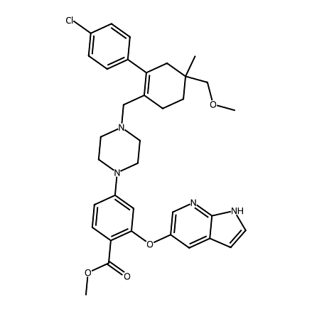 COCC1(C)CCC(CN2CCN(c3ccc(C(=O)OC)c(Oc4cnc5[nH]ccc5c4)c3)CC2)=C(c2ccc(Cl)cc2)C1